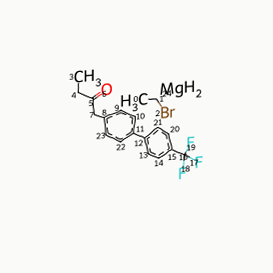 CCBr.CCC(=O)Cc1ccc(-c2ccc(C(F)(F)F)cc2)cc1.[MgH2]